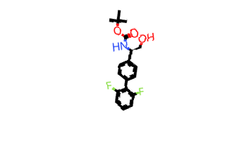 CC(C)(C)OC(=O)N[C@@H](CO)c1ccc(-c2c(F)cccc2F)cc1